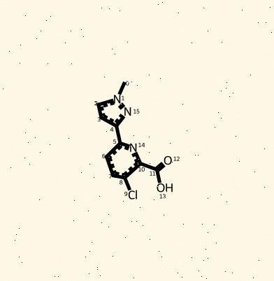 Cn1ccc(-c2ccc(Cl)c(C(=O)O)n2)n1